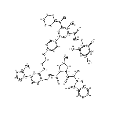 CCN(c1cc(-c2ccc(OCCOc3cc(-c4scnc4C)ccc3CNC(=O)C3CC(O)CN3C(=O)C(C(C)C)N3Cc4ccccc4C3=O)cc2)cc(C(=O)NCc2c(C)cc(C)[nH]c2=O)c1C)C1CCOCC1